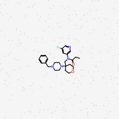 CCC(=O)N(CC1(N2CCN(Cc3ccccc3)CC2)CCOCC1)c1cncc(F)c1